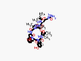 CCC(C)[C@@H]1NC(=O)[C@H](Cc2ccc(O)cc2)N(C)C(=O)[C@H](Cc2ccccc2)N2C(=O)C(CC[C@@H]2O)NC(=O)[C@H](CC(C)C)NC(=O)[C@@H](NC(=O)[C@H](CCCNC(N)=O)NC(=O)C(C)C)[C@@H](C)OC1=O